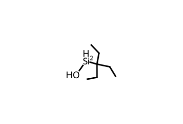 CCC(CC)(CC)[SiH2]O